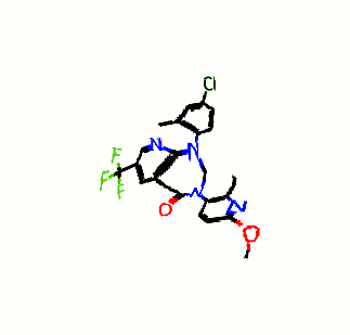 COc1ccc(N2CN(c3ccc(Cl)cc3C)c3ncc(C(F)(F)F)cc3C2=O)c(C)n1